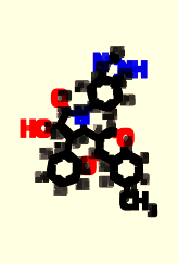 Cc1ccc2occ(C3C(c4ccccc4)=C(O)C(=O)N3c3ccc4[nH]cnc4c3)c(=O)c2c1